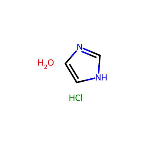 Cl.O.c1c[nH]cn1